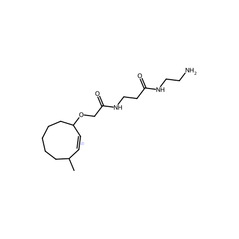 CC1/C=C\C(OCC(=O)NCCC(=O)NCCN)CCCCC1